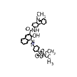 CCN(CC)OS(=O)(=O)c1ccc(/N=N/c2c(O)c(C(=O)Nc3ccc4c(c3)c3ccccc3n4CC)cc3ccccc23)cc1